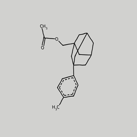 CC(=O)OCC12CC3CC(C1)CC(c1ccc(C)cc1)(C3)C2